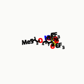 CSCCOCC(N)CC(S(=O)(=O)C(F)(F)F)S(=O)(=O)C(F)(F)F